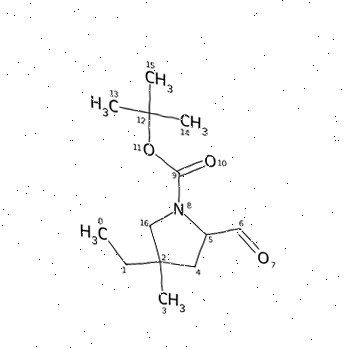 CCC1(C)CC(C=O)N(C(=O)OC(C)(C)C)C1